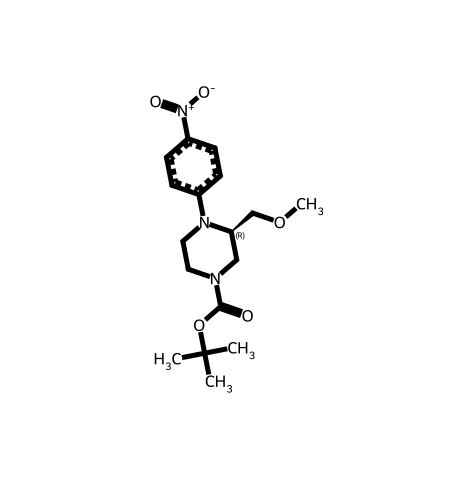 COC[C@H]1CN(C(=O)OC(C)(C)C)CCN1c1ccc([N+](=O)[O-])cc1